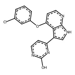 Oc1nccc(-c2c[nH]c3nccc(Oc4cccc(Cl)c4)c23)n1